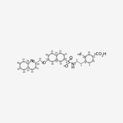 O=C(O)c1ccc(CCNS(=O)(=O)c2ccc3ccc(OCc4ccc5ccccc5n4)cc3c2)c(F)c1